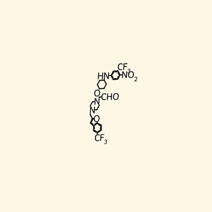 O=CC(OC1CCC(Nc2ccc([N+](=O)[O-])c(C(F)(F)F)c2)CC1)N1CCN(Cc2cc3cc(C(F)(F)F)ccc3o2)CC1